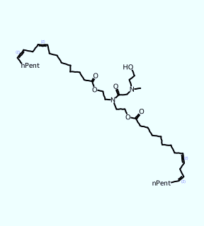 CCCCC/C=C\C/C=C\CCCCCCCC(=O)OCCN(CCOC(=O)CCCCCCC/C=C\C/C=C\CCCCC)C(=O)CN(C)CCO